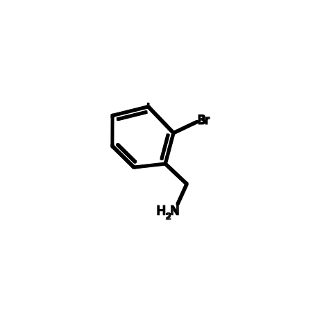 NCc1ccc[c]c1Br